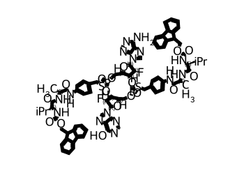 CC(C)[C@H](NC(=O)OCC1c2ccccc2-c2ccccc21)C(=O)N[C@@H](C)C(=O)Nc1ccc(CSP2(=O)OC[C@H]3O[C@@H](n4cnc5c(O)ncnc54)[C@H](F)[C@@H]3OP(=O)(SCc3ccc(NC(=O)[C@H](C)NC(=O)[C@@H](NC(=O)OCC4c5ccccc5-c5ccccc54)C(C)C)cc3)OC[C@H]3O[C@@H](n4cnc5c(N)ncnc54)[C@H](F)[C@@H]3O2)cc1